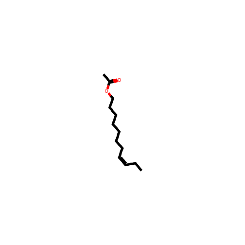 CC/C=C\CCCCCCCOC(C)=O